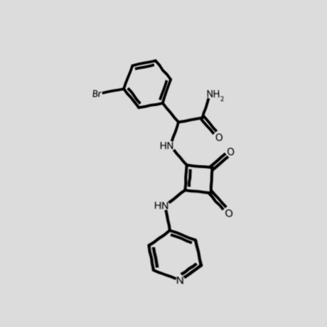 NC(=O)C(Nc1c(Nc2ccncc2)c(=O)c1=O)c1cccc(Br)c1